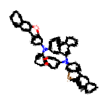 c1ccc(N(c2ccc3c(c2)oc2cc4ccccc4cc23)c2ccc3c(c2)c(N(c2ccccc2)c2ccc4c(c2)sc2cc5ccccc5cc24)cc2ccccc23)cc1